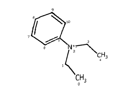 CC[N+](CC)c1ccccc1